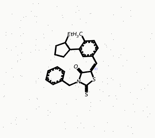 CCC1CCCC1c1cc(/C=C2/SC(=S)N(Cc3ccccc3)C2=O)ccc1C